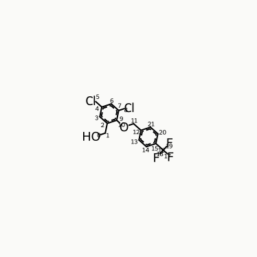 OCc1cc(Cl)cc(Cl)c1OCc1ccc(C(F)(F)F)cc1